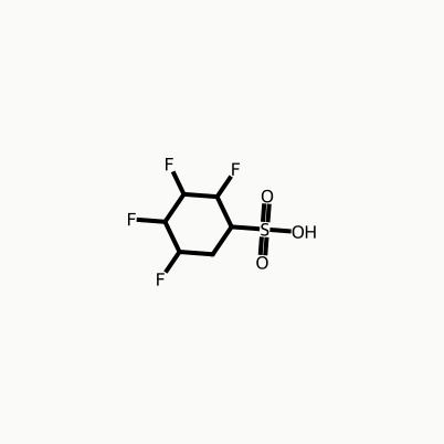 O=S(=O)(O)C1CC(F)C(F)C(F)C1F